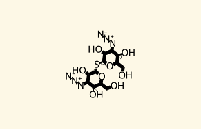 [N-]=[N+]=NC1C(O)[C@H](S[C@@H]2OC(CO)[C@H](O)C(N=[N+]=[N-])C2O)OC(CO)[C@@H]1O